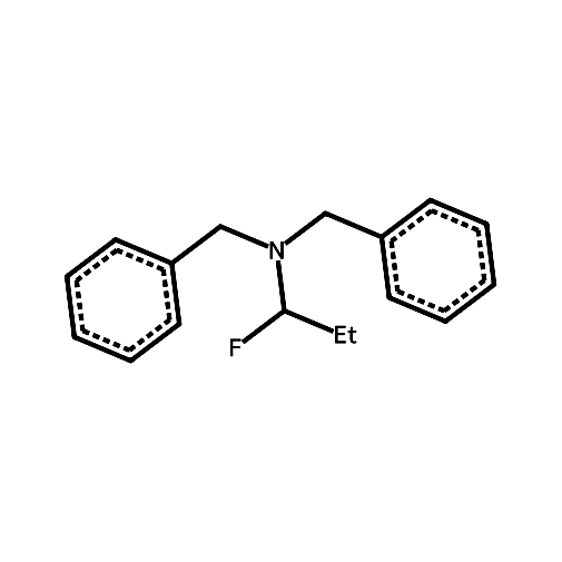 [CH2]CC(F)N(Cc1ccccc1)Cc1ccccc1